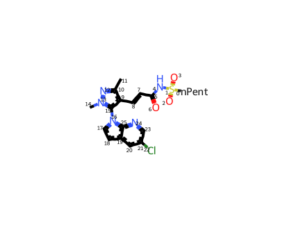 CCCCCS(=O)(=O)NC(=O)C=Cc1c(C)nn(C)c1-n1ccc2cc(Cl)cnc21